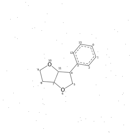 c1ccc(C2COC3CCOC32)cc1